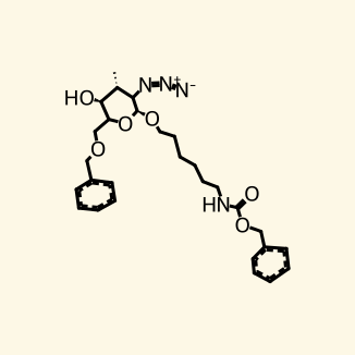 C[C@@H]1C(N=[N+]=[N-])[C@@H](OCCCCCCNC(=O)OCc2ccccc2)OC(COCc2ccccc2)[C@H]1O